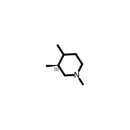 CC1CCN(C)C[C@H]1C